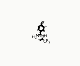 CC(NC(N)c1ccc(Br)cc1)C(F)(F)F